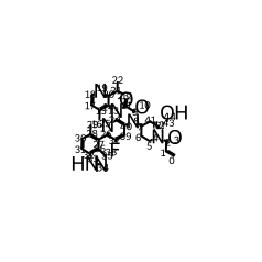 C=CC(=O)N1CCC(n2c(=O)c(=O)n(-c3c(C)ccnc3C(C)C)c3nc(-c4c(C)ccc5[nH]ncc45)c(F)cc32)C[C@@H]1CO